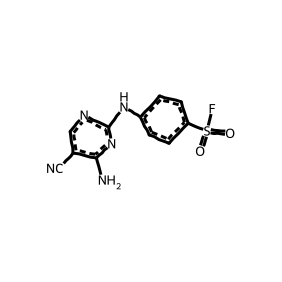 N#Cc1cnc(Nc2ccc(S(=O)(=O)F)cc2)nc1N